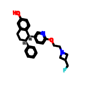 Oc1ccc2c(c1)CC[C@@H](c1ccccc1)[C@H]2c1ccc(OCCN2CC(CF)C2)nc1